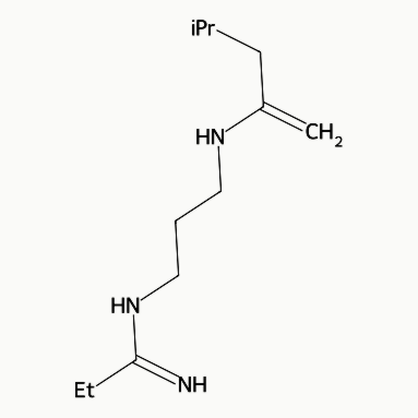 C=C(CC(C)C)NCCCNC(=N)CC